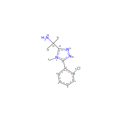 Cn1c(-c2ccccc2Cl)nnc1C(C)(C)N